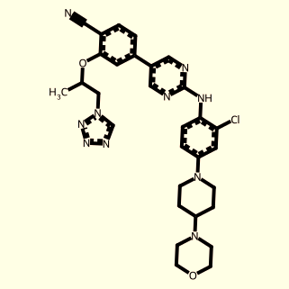 CC(Cn1cnnn1)Oc1cc(-c2cnc(Nc3ccc(N4CCC(N5CCOCC5)CC4)cc3Cl)nc2)ccc1C#N